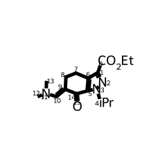 CCOC(=O)c1nn(C(C)C)c2c1CCC(=CN(C)C)C2=O